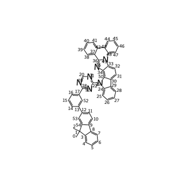 CC1(C)c2ccccc2-c2ccc(-c3cccc(-c4ncnc(-n5c6ccccc6c6ccc7c(nc8c9ccccc9c9ccccc9n78)c65)n4)c3)cc21